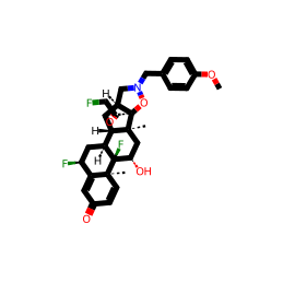 COc1ccc(CN2C[C@@H]3C[C@H]4[C@@H]5C[C@H](F)C6=CC(=O)C=C[C@]6(C)[C@@]5(F)[C@@H](O)C[C@]4(C)[C@]3(C(=O)CF)O2)cc1